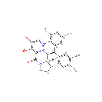 O=C1c2c(O)c(=O)cnn2[C@@H](C(c2cc(F)cc(F)c2)c2ccc(F)c(F)c2)[C@H]2CCCN12